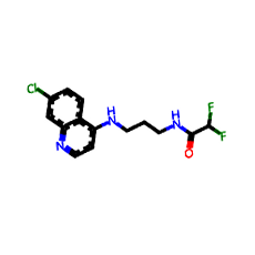 O=C(NCCCNc1ccnc2cc(Cl)ccc12)C(F)F